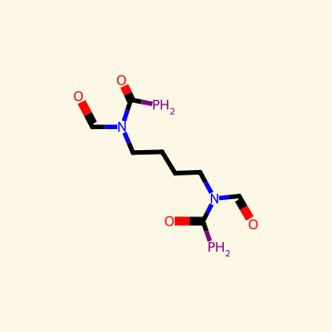 O=CN(CCCCN(C=O)C(=O)P)C(=O)P